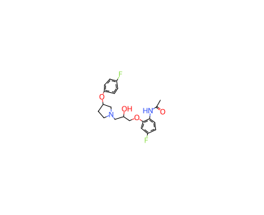 CC(=O)Nc1ccc(F)cc1OCC(O)CN1CCC(Oc2ccc(F)cc2)C1